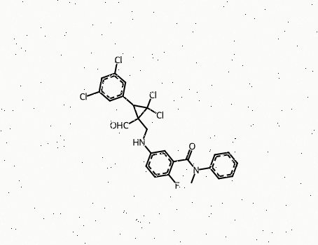 CN(C(=O)c1cc(NCC2(C=O)C(c3cc(Cl)cc(Cl)c3)C2(Cl)Cl)ccc1F)c1ccccc1